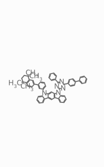 CC1(C)CCC(C)(C)c2cc(-c3cccc(-n4c5ccccc5c5cc6c7ccccc7n(-c7nc(-c8ccccc8)nc(-c8ccc(-c9ccccc9)cc8)n7)c6cc54)c3)ccc21